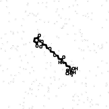 CO[Si](O)(O)CCCNC(=O)CCOCCOCCC(=O)ON1C(=O)CCC1=O